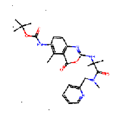 Cc1c(NC(=O)OC(C)(C)C)ccc2nc(NC(C)(C)C(=O)N(C)Cc3ccccn3)oc(=O)c12